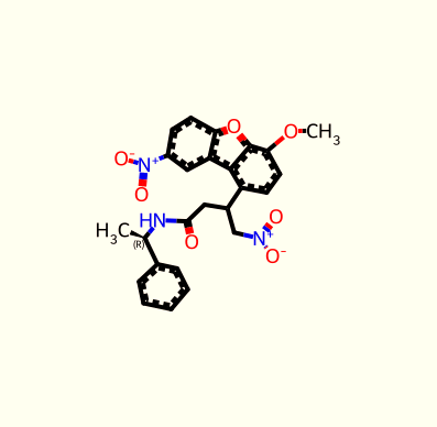 COc1ccc(C(CC(=O)N[C@H](C)c2ccccc2)C[N+](=O)[O-])c2c1oc1ccc([N+](=O)[O-])cc12